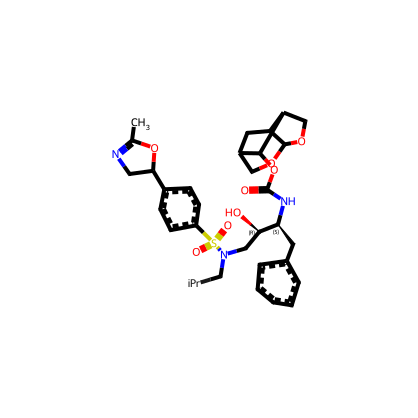 CC1=NCC(c2ccc(S(=O)(=O)N(CC(C)C)C[C@@H](O)[C@H](Cc3ccccc3)NC(=O)OC3C4COC5OCC3C5C4)cc2)O1